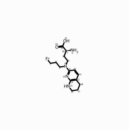 N[C@@H](CCN(CCCF)c1ccc2c(n1)NCCC2)C(=O)O